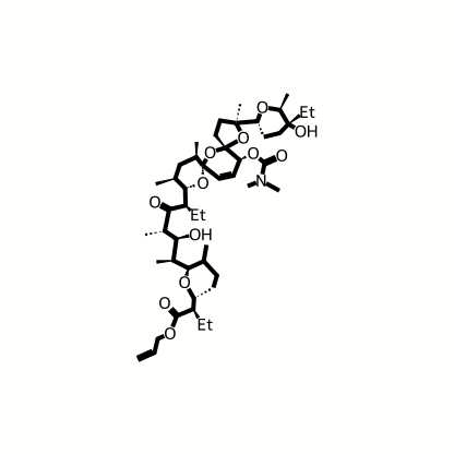 C=CCOC(=O)[C@H](CC)[C@H]1CCC(C)[C@H]([C@@H](C)[C@H](O)[C@H](C)C(=O)[C@H](CC)[C@H]2O[C@]3(C=C[C@@H](OC(=O)N(C)C)[C@]4(CC[C@@](C)([C@H]5CC[C@](O)(CC)[C@H](C)O5)O4)O3)[C@H](C)C[C@@H]2C)O1